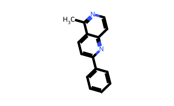 Cc1nccc2nc(-c3cc[c]cc3)ccc12